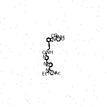 CCc1nc(-c2cccc3c(-c4ccc(C(=O)NCCC#Cc5cccc6c5CN(C5CCC(=O)NC5=O)C6=O)nc4)ncn23)c2n1CCN(C(C)=O)C2